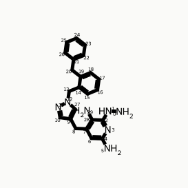 NNc1nc(N)cc(Cc2cnn(Cc3ccccc3Cc3ccccc3)c2)c1N